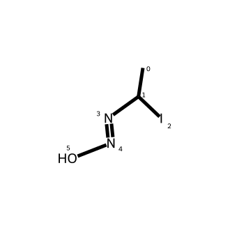 CC(I)N=NO